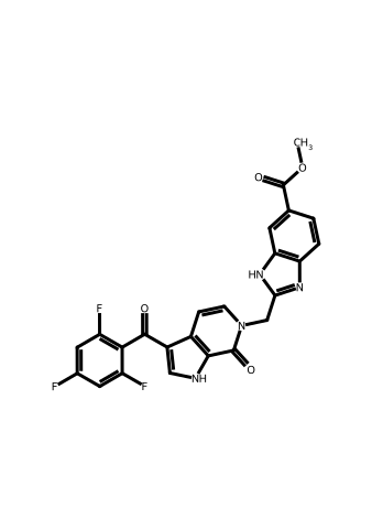 COC(=O)c1ccc2nc(Cn3ccc4c(C(=O)c5c(F)cc(F)cc5F)c[nH]c4c3=O)[nH]c2c1